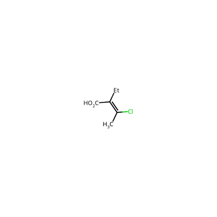 CCC(C(=O)O)=C(C)Cl